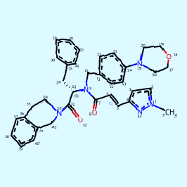 Cn1ccc(/C=C/C(=O)N(Cc2ccc(N3CCOCC3)cc2)[C@@H](Cc2ccccc2)C(=O)N2CCc3ccccc3C2)n1